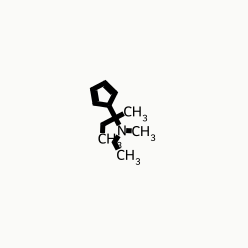 CCN(C)C(C)(CC)C1C=CC=C1